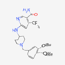 COc1ccc(CN2CCC(Nc3cc(C(F)(F)F)c(C(N)=O)cn3)CC2)cc1OCC(C)C